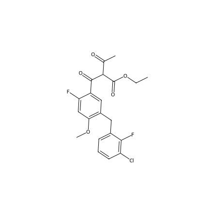 CCOC(=O)C(C(C)=O)C(=O)c1cc(Cc2cccc(Cl)c2F)c(OC)cc1F